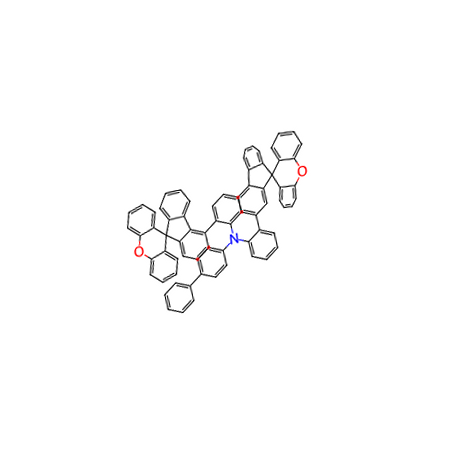 c1ccc(-c2ccc(N(c3ccccc3-c3ccc4c(c3)C3(c5ccccc5Oc5ccccc53)c3ccccc3-4)c3ccccc3-c3cccc4c3-c3ccccc3C43c4ccccc4Oc4ccccc43)cc2)cc1